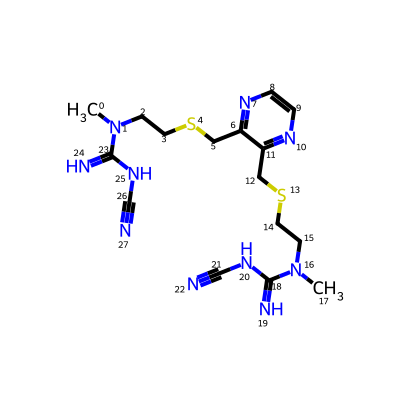 CN(CCSCc1nccnc1CSCCN(C)C(=N)NC#N)C(=N)NC#N